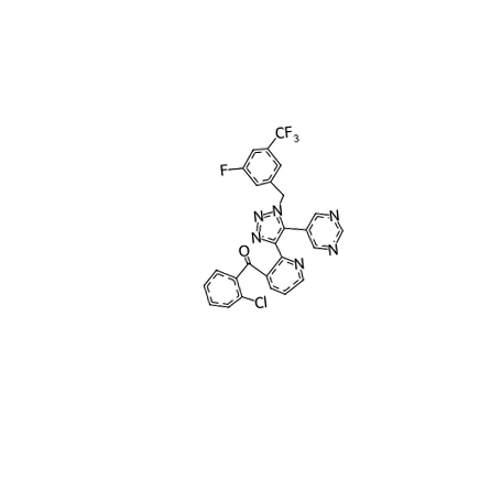 O=C(c1ccccc1Cl)c1cccnc1-c1nnn(Cc2cc(F)cc(C(F)(F)F)c2)c1-c1cncnc1